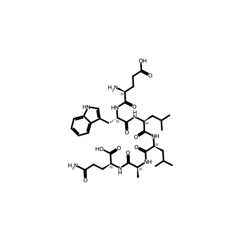 CC(C)C[C@H](NC(=O)[C@H](CC(C)C)NC(=O)[C@H](Cc1c[nH]c2ccccc12)NC(=O)[C@@H](N)CCC(=O)O)C(=O)N[C@@H](C)C(=O)N[C@@H](CCC(N)=O)C(=O)O